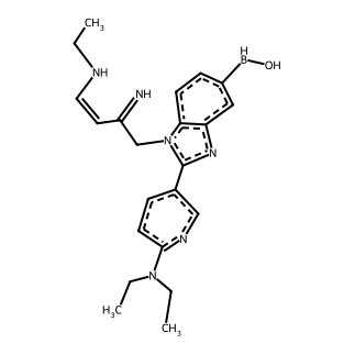 CCN/C=C\C(=N)Cn1c(-c2ccc(N(CC)CC)nc2)nc2cc(BO)ccc21